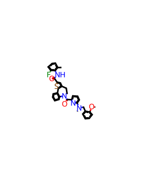 COc1ccccc1CN(C)c1cccc(C(=O)N2CCc3cc(C(=O)Nc4c(C)cccc4F)sc3-c3ccccc32)n1